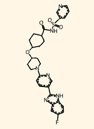 O=C(NS(=O)(=O)c1cccnc1)C1CCC(OC2CCN(c3ccc(-c4nc5cc(F)ccc5[nH]4)cn3)CC2)CC1